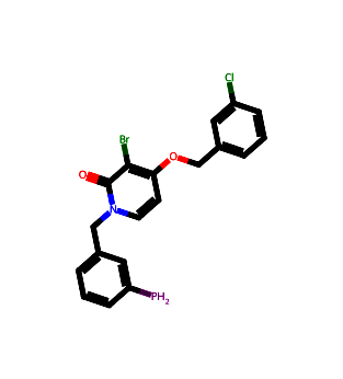 O=c1c(Br)c(OCc2cccc(Cl)c2)ccn1Cc1cccc(P)c1